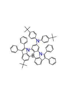 CC(C)(C)c1ccc(N(c2ccc(C(C)(C)C)cc2)c2cc3c4c(c2)-n2c(-c5ccccc5)c(-c5ccccc5)c5cc(C(C)(C)C)cc(c52)B4c2cccc4c(-c5ccccc5)c(-c5ccccc5)n-3c24)cc1